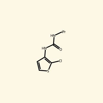 CC(C)NC(=O)Nc1ccsc1Cl